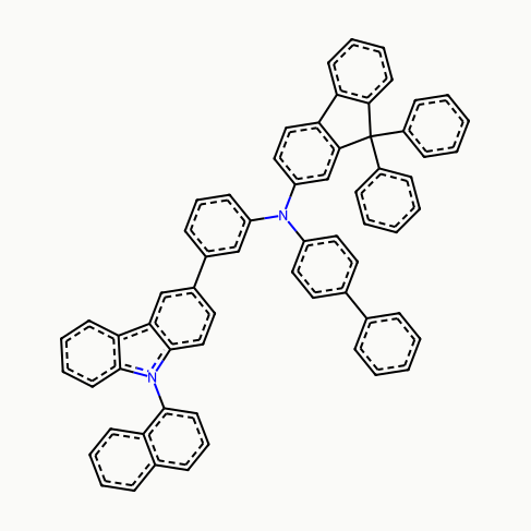 c1ccc(-c2ccc(N(c3cccc(-c4ccc5c(c4)c4ccccc4n5-c4cccc5ccccc45)c3)c3ccc4c(c3)C(c3ccccc3)(c3ccccc3)c3ccccc3-4)cc2)cc1